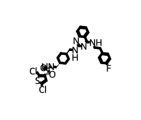 O=S(=O)(NC[C@H]1CC[C@H](CNc2nc(NCCc3ccc(F)cc3)c3ccccc3n2)CC1)c1cc(Cl)sc1Cl